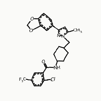 Cc1cc(-c2ccc3c(c2)OCO3)nn1CC1CCC(NC(=O)c2cc(C(F)(F)F)ccc2Cl)CC1